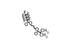 C=C(C)C(=O)OCCCOC(=O)C(F)(F)C(F)(F)C(F)(F)F